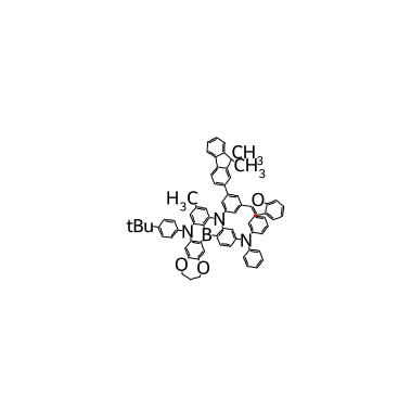 Cc1cc2c3c(c1)N(c1ccc(C(C)(C)C)cc1)c1cc4c(cc1B3c1ccc(N(c3ccccc3)c3ccccc3)cc1N2c1cc(-c2ccc3c(c2)C(C)(C)c2ccccc2-3)cc(-c2cc3ccccc3o2)c1)OCCCO4